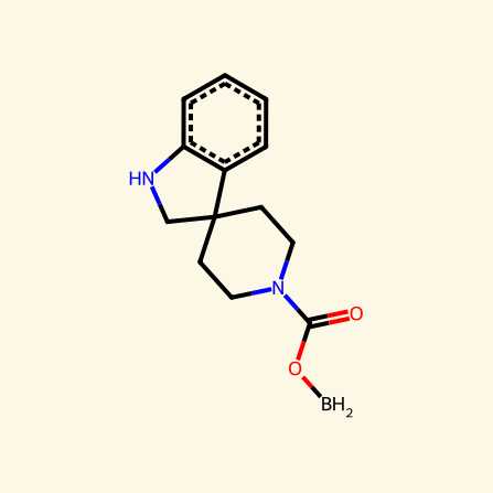 BOC(=O)N1CCC2(CC1)CNc1ccccc12